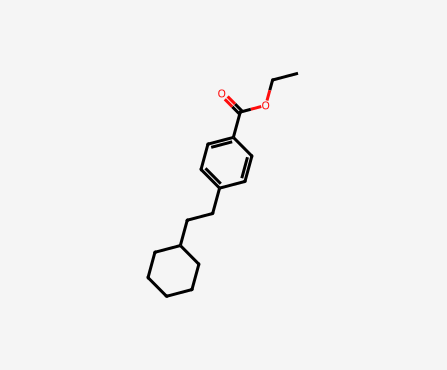 CCOC(=O)c1ccc(CCC2CCCCC2)cc1